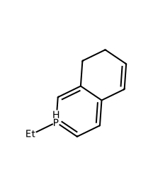 CC[PH]1=CC=C2C=CCCC2=C1